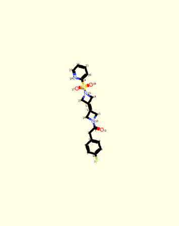 O=C(Cc1ccc(F)cc1)N1CC(=C2CN(S(=O)(=O)c3ccccn3)C2)C1